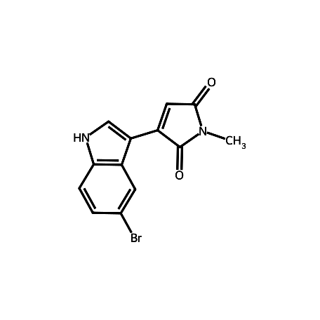 CN1C(=O)C=C(c2c[nH]c3ccc(Br)cc23)C1=O